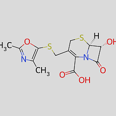 Cc1nc(C)c(SCC2=C(C(=O)O)N3C(=O)[C@@H](O)[C@@H]3SC2)o1